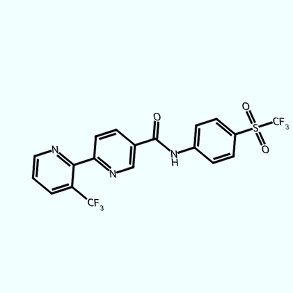 O=C(Nc1ccc(S(=O)(=O)C(F)(F)F)cc1)c1ccc(-c2ncccc2C(F)(F)F)nc1